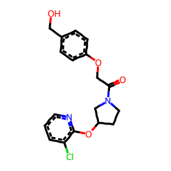 O=C(COc1ccc(CO)cc1)N1CCC(Oc2ncccc2Cl)C1